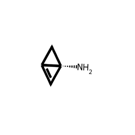 N[C@]12C=C1C2